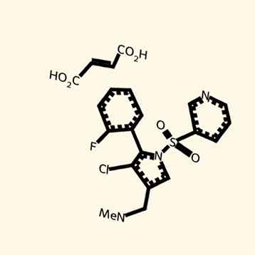 CNCc1cn(S(=O)(=O)c2cccnc2)c(-c2ccccc2F)c1Cl.O=C(O)C=CC(=O)O